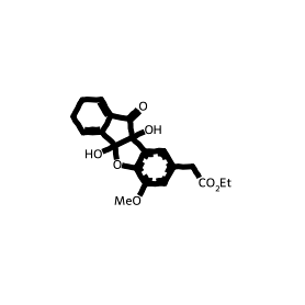 CCOC(=O)Cc1cc(OC)c2c(c1)C1(O)C(=O)C3=CCCC=C3C1(O)O2